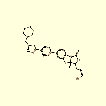 CC/C=N\CC1OC(=O)N2c3ccc(-c4ccc(C5=NOC(CN6CCOCC6)C5)nc4)cc3C[C@@H]12